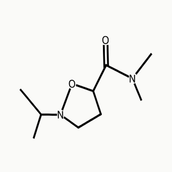 CC(C)N1CCC(C(=O)N(C)C)O1